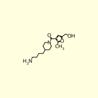 Cc1oc(CO)cc1C(=O)N1CCC(CCCCN)CC1